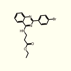 CCOC(=O)CCNc1nc(-c2ccc(Br)cc2)nc2ccccc12